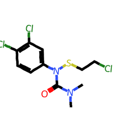 CN(C)C(=O)N(SCCCl)c1ccc(Cl)c(Cl)c1